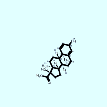 CC(=O)[C@@]1(O)CC[C@H]2[C@@H]3CCC4=CC(O)C=C[C@]4(C)[C@H]3CC[C@@]21C